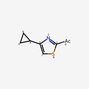 CC(=O)c1nc(C2CC2)cs1